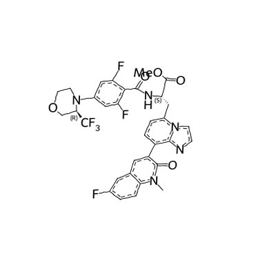 COC(=O)[C@H](Cc1ccc(-c2cc3cc(F)ccc3n(C)c2=O)c2nccn12)NC(=O)c1c(F)cc(N2CCOC[C@@H]2C(F)(F)F)cc1F